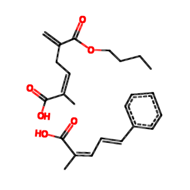 C=C(CC=C(C)C(=O)O)C(=O)OCCCC.CC(=CC=Cc1ccccc1)C(=O)O